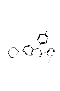 Cl.Cn1nccc1C(=O)N(c1ccc(F)cc1)c1ccc([C@H]2CNCCO2)cc1